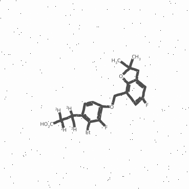 [2H]C([2H])(C(=O)O)C([2H])([2H])c1ccc(OCc2cc(F)cc3c2OC(C)(C)C3)c(F)c1CC